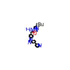 Cn1nc(C(C)(C)C)cc1NC(=O)Cc1ccc(-n2cnc3cc(-c4cccnc4)ccc32)cc1